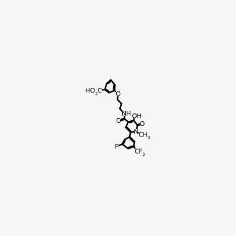 Cn1c(-c2cc(F)cc(C(F)(F)F)c2)cc(C(=O)NCCCOc2cccc(C(=O)O)c2)c(O)c1=O